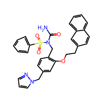 NC(=O)N(Cc1ccc(Cn2cccn2)cc1OCCc1ccc2ccccc2c1)S(=O)(=O)c1ccccc1